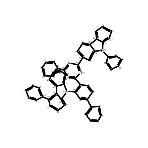 c1ccc(-c2ccc(-c3nc(-c4ccccc4)nc(-c4ccc5c6ccccc6n(-c6ccccc6)c5c4)n3)c(-n3c4ccccc4c4c(-c5ccccc5)cccc43)c2)cc1